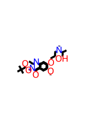 COc1cc2c(=O)n(OC(=O)C(C)(C)C)c(C)nc2cc1OCC(O)CN(C)C(C)C